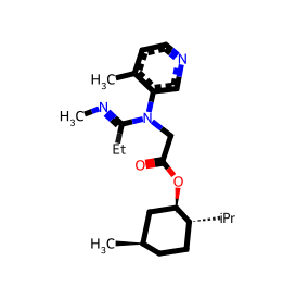 CC/C(=N\C)N(CC(=O)O[C@@H]1C[C@H](C)CC[C@H]1C(C)C)c1cnccc1C